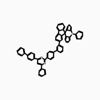 c1ccc(-c2ccc(-c3cc(-c4ccccc4)nc(-c4ccc(-c5cccc(-c6ccc7c(c6)C6(c8ccccc8-7)c7ccccc7N(c7ccccc7)c7ccccc76)c5)cc4)n3)cc2)cc1